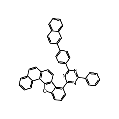 c1ccc(-c2nc(-c3ccc(-c4ccc5ccccc5c4)cc3)nc(-c3cccc4oc5c(ccc6ccc7ccccc7c65)c34)n2)cc1